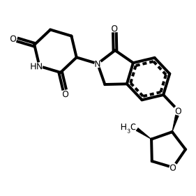 C[C@@H]1COC[C@@H]1Oc1ccc2c(c1)CN(C1CCC(=O)NC1=O)C2=O